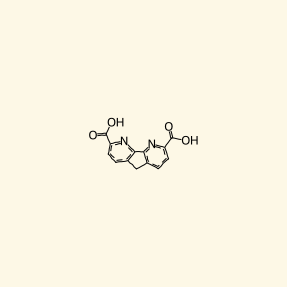 O=C(O)c1ccc2c(n1)-c1nc(C(=O)O)ccc1C2